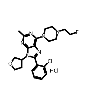 Cc1nc(N2CCN(CCF)CC2)c2nc(-c3ccccc3Cl)n(C3CCOC3)c2n1.Cl